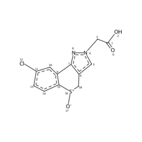 O=C(O)Cn1cc2c(n1)-c1cc(Cl)ccc1[S+]([O-])C2